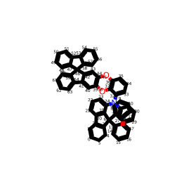 C1=CC2=C(CC1)C(c1ccccc1)(c1ccccc1)c1c2cccc1N(c1ccccc1)c1cccc2c1Oc1cc3c(cc1O2)C1(c2ccccc2-c2ccccc21)c1ccccc1-3